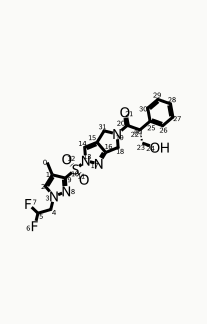 Cc1cn(CC(F)F)nc1S(=O)(=O)n1cc2c(n1)CN(C(=O)[C@@H](CO)c1ccccc1)C2